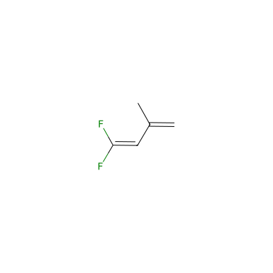 C=C(C)C=C(F)F